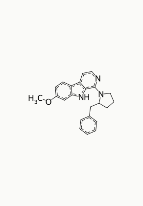 COc1ccc2c(c1)[nH]c1c(N3CCCC3Cc3ccccc3)nccc12